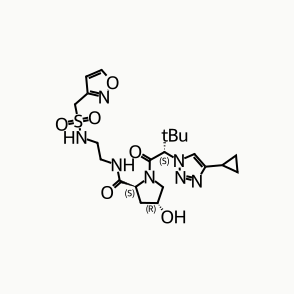 CC(C)(C)[C@@H](C(=O)N1C[C@H](O)C[C@H]1C(=O)NCCNS(=O)(=O)Cc1ccon1)n1cc(C2CC2)nn1